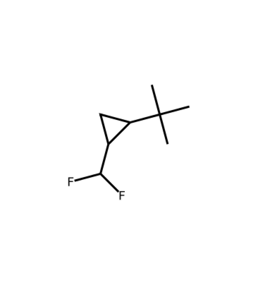 CC(C)(C)C1CC1C(F)F